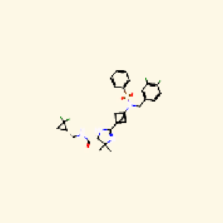 CC1(C)N=C(C23CC(N(Cc4ccc(Cl)c(F)c4)S(=O)(=O)c4ccccc4)(C2)C3)N[C@H]1C(=O)NC[C@H]1CC1(F)F